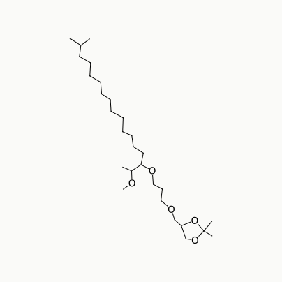 COC(C)C(CCCCCCCCCCCCC(C)C)OCCCOCC1COC(C)(C)O1